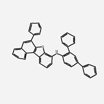 c1ccc(-c2ccc(Nc3cccc4c3oc3c(-c5ccccc5)cc5ccccc5c34)c(-c3ccccc3)c2)cc1